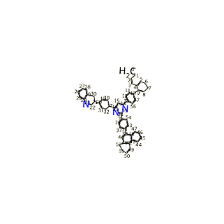 C=C/C=C\C1=CCCC=C1c1ccc(-c2cc(C3C=CC(C4C=Nc5ccccc5C4)=CC3)nc(-c3ccc(-c4cc5c(c6ccccc46)C=CCC5)cc3)n2)cc1